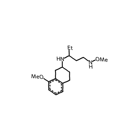 CCC(CCNOC)NC1CCc2cccc(OC)c2C1